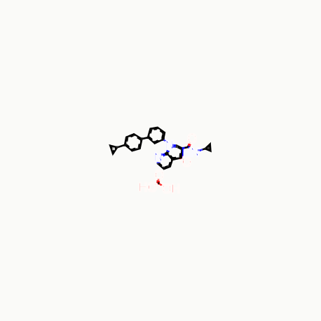 O=C(NC1CC1)c1cn(-c2cccc(-c3ccc(C4CC4)cc3)c2)c2ncccc2c1=O.O=C(O)O